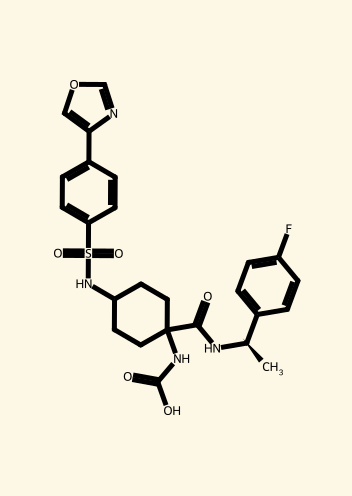 C[C@@H](NC(=O)C1(NC(=O)O)CCC(NS(=O)(=O)c2ccc(-c3cocn3)cc2)CC1)c1ccc(F)cc1